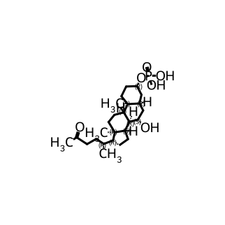 CC(=O)CC[C@@H](C)[C@H]1CC[C@H]2[C@@H]3[C@@H](O)C[C@@H]4C[C@H](OP(=O)(O)O)CC[C@]4(C)[C@H]3CC[C@]12C